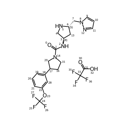 O=C(N[C@H]1CN[C@H](Cn2cccn2)C1)N1CCC(c2cccc(OC(F)(F)F)c2)C1.O=C(O)C(F)(F)F